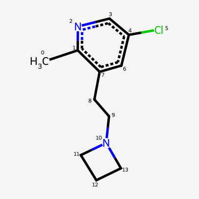 Cc1ncc(Cl)cc1CCN1CCC1